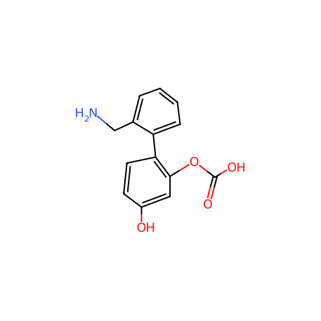 NCc1ccccc1-c1ccc(O)cc1OC(=O)O